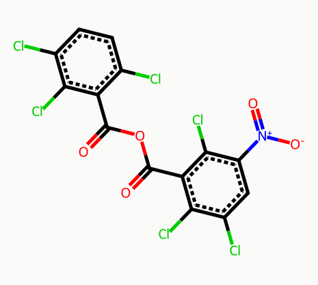 O=C(OC(=O)c1c(Cl)c(Cl)cc([N+](=O)[O-])c1Cl)c1c(Cl)ccc(Cl)c1Cl